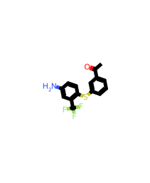 CC(=O)c1cccc(Sc2ccc(N)cc2C(F)(F)F)c1